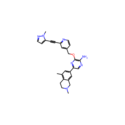 Cc1cc(-c2cnc(N)c(OCc3ccnc(C#Cc4ccnn4C)c3)n2)cc2c1CCN(C)C2